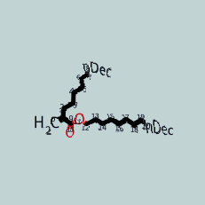 C=C(CCCCCCCCCCCCCCCC)C(=O)OCCCCCCCCCCCCCCCCCC